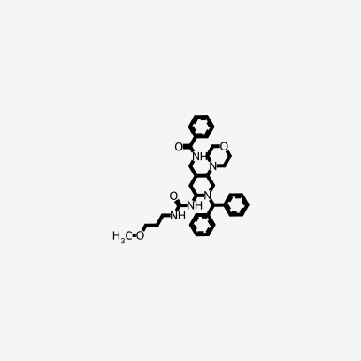 COCCCNC(=O)NC1CC(CNC(=O)c2ccccc2)C(N2CCOCC2)CN1C(c1ccccc1)c1ccccc1